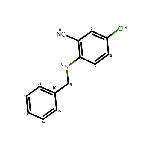 N#Cc1cc(Cl)ccc1SCc1ccccc1